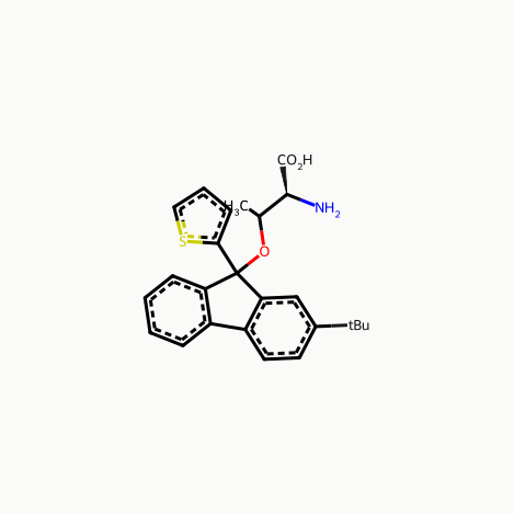 CC(OC1(c2cccs2)c2ccccc2-c2ccc(C(C)(C)C)cc21)[C@H](N)C(=O)O